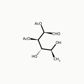 CC(=O)O[C@H]([C@@H](O)[C@H](C)O)[C@H](C=O)OC(C)=O